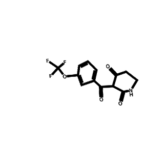 O=C1CCNC(=O)C1C(=O)c1cccc(OC(F)(F)F)c1